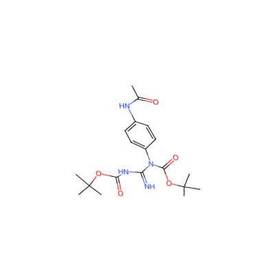 CC(=O)Nc1ccc(N(C(=N)NC(=O)OC(C)(C)C)C(=O)OC(C)(C)C)cc1